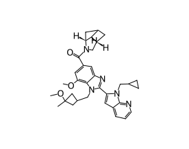 COc1cc(C(=O)N2C[C@H]3CC4C[C@@H]2[C@H]43)cc2nc(-c3cc4cccnc4n3CC3CC3)n(CC3CC(C)(OC)C3)c12